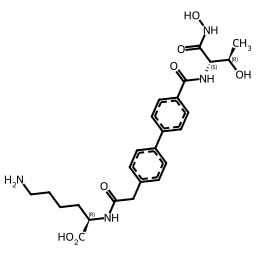 C[C@@H](O)[C@H](NC(=O)c1ccc(-c2ccc(CC(=O)N[C@H](CCCCN)C(=O)O)cc2)cc1)C(=O)NO